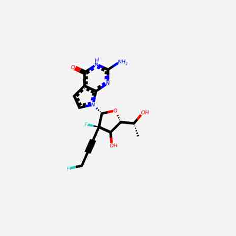 C[C@@H](O)[C@H]1O[C@@H](n2ccc3c(=O)[nH]c(N)nc32)[C@@](F)(C#CCF)C1O